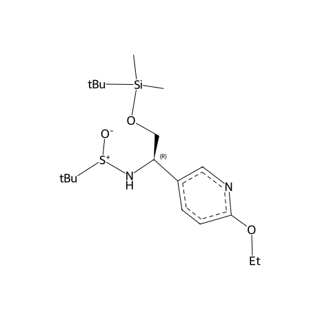 CCOc1ccc([C@H](CO[Si](C)(C)C(C)(C)C)N[S+]([O-])C(C)(C)C)cn1